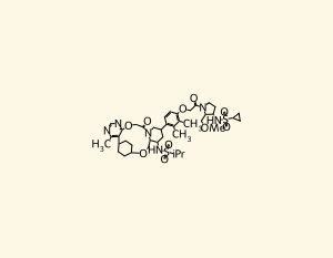 COCC1[C@@H](NS(=O)(=O)C2CC2)CCN1C(=O)COc1ccc(C2CC(NS(=O)(=O)C(C)C)C3COC4CCC(CC4)c4c(C)ncnc4OCC(=O)N3C2)c(C)c1C